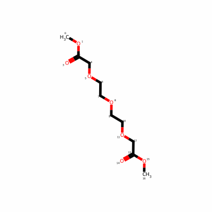 COC(=O)COCCOCCOCC(=O)OC